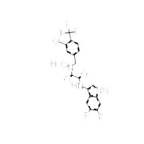 CN(Cc1ccc(C(F)(F)F)c(Cl)c1)C(=O)C(=O)Nc1c[nH]c2cc(F)c(F)cc12